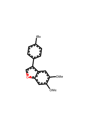 COc1cc2occ(-c3ccc(C(C)(C)C)cc3)c2cc1OC